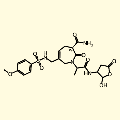 COc1ccc(S(=O)(=O)NCC2=CC[C@@H](C(N)=O)C(=O)N(C(C)C(=O)NC3CC(=O)OC3O)C2)cc1